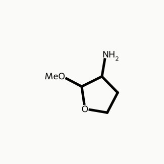 COC1OCCC1N